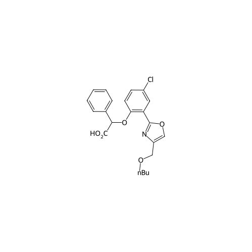 CCCCOCc1coc(-c2cc(Cl)ccc2OC(C(=O)O)c2ccccc2)n1